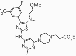 CCOC(=O)CCN1CCN(c2cc(Nc3nc(-c4cc(F)cc(C(F)(F)F)c4)c(N(C)CCOC)s3)nc(C)n2)CC1